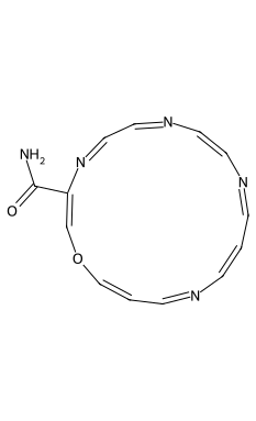 NC(=O)c1cocccncccnccnccn1